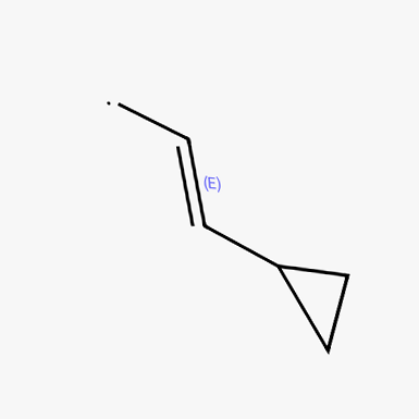 [CH2]/C=C/C1CC1